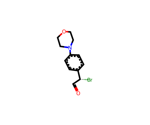 O=C[C@@H](Br)c1ccc(N2CCOCC2)cc1